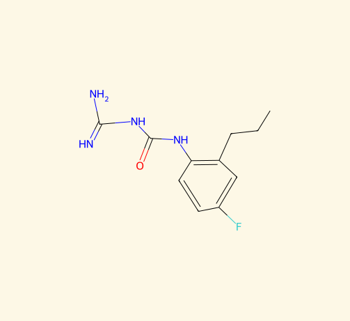 CCCc1cc(F)ccc1NC(=O)NC(=N)N